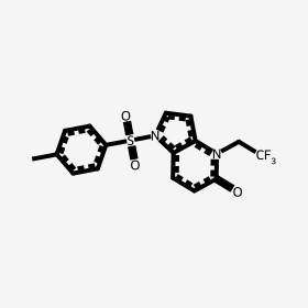 Cc1ccc(S(=O)(=O)n2ccc3c2ccc(=O)n3CC(F)(F)F)cc1